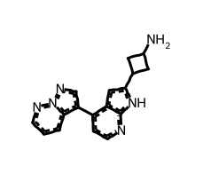 NC1CC(c2cc3c(-c4cnn5ncccc45)ccnc3[nH]2)C1